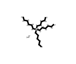 CCCCCC[N+](CCCCC)(CCCCCC)CCCCCC.[I-]